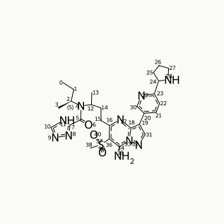 CC[C@H](C)N(C(=O)c1nnc[nH]1)C(C)CCc1nc2c(-c3ccc(C4CCCN4)nc3)cnn2c(N)c1S(C)(=O)=O